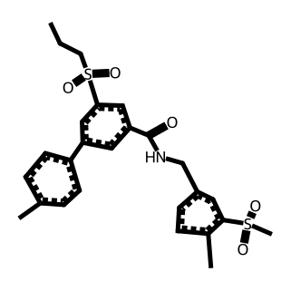 CCCS(=O)(=O)c1cc(C(=O)NCc2ccc(C)c(S(C)(=O)=O)c2)cc(-c2ccc(C)cc2)c1